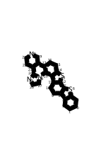 c1ccc2c(c1)sc1c2ccc2c1sc1ccc3c4cnccc4c4nccn4c3c12